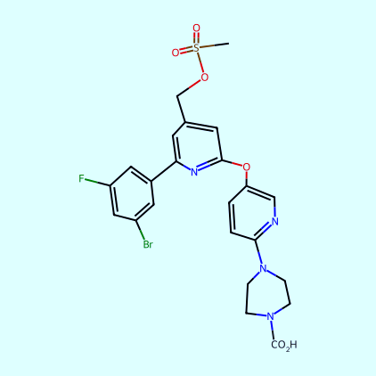 CS(=O)(=O)OCc1cc(Oc2ccc(N3CCN(C(=O)O)CC3)nc2)nc(-c2cc(F)cc(Br)c2)c1